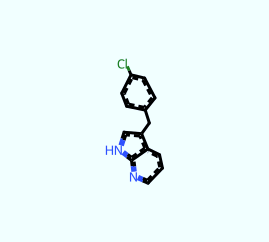 Clc1ccc(Cc2c[nH]c3ncccc23)cc1